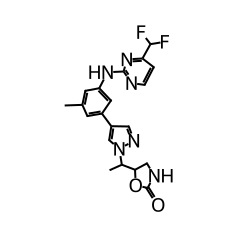 Cc1cc(Nc2nccc(C(F)F)n2)cc(-c2cnn(C(C)C3CNC(=O)O3)c2)c1